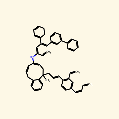 C=C/C=C\c1ccc(/C=C/CC2(C)C/C=C(N/C(C=C)=C/C(=C/c3cccc(-c4ccccc4)c3)C3=CC=CCC3)\C=C/Cc3ccccc32)c(C=C)c1